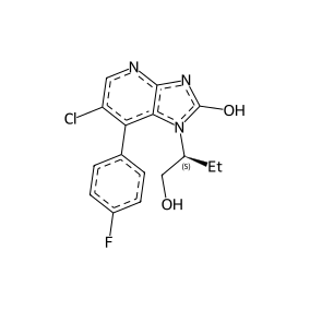 CC[C@@H](CO)n1c(O)nc2ncc(Cl)c(-c3ccc(F)cc3)c21